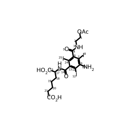 CC(=O)OCCNC(=O)c1c(I)c(N)c(I)c(C(=O)NC(CCCCC(=O)O)C(=O)O)c1I